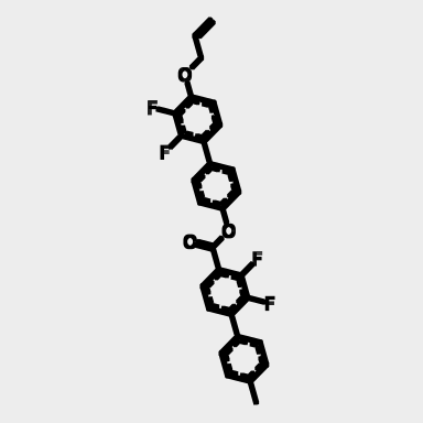 C=CCOc1ccc(-c2ccc(OC(=O)c3ccc(-c4ccc(C)cc4)c(F)c3F)cc2)c(F)c1F